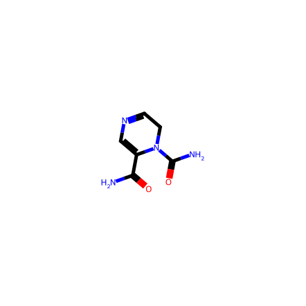 NC(=O)C1=CN=CCN1C(N)=O